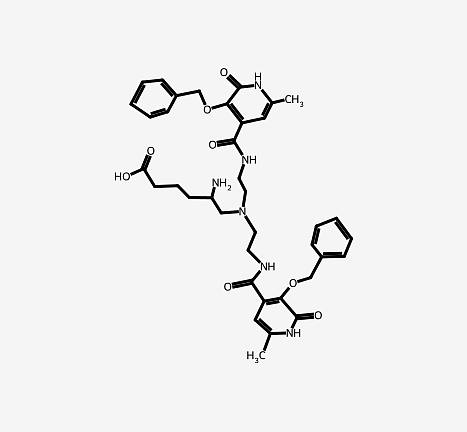 Cc1cc(C(=O)NCCN(CCNC(=O)c2cc(C)[nH]c(=O)c2OCc2ccccc2)CC(N)CCCC(=O)O)c(OCc2ccccc2)c(=O)[nH]1